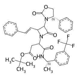 C[C@H](NC(=O)C(CC(=O)OC(C)(C)C)N1C(=O)C(N2C(=O)OC[C@@H]2c2ccccc2)C1C=Cc1ccccc1)c1cccc(C(F)(F)F)c1